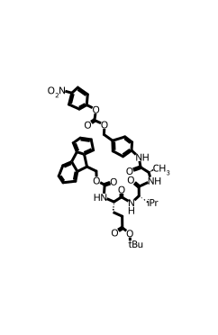 CC(C)[C@H](NC(=O)[C@H](CCC(=O)OC(C)(C)C)NC(=O)OCC1c2ccccc2-c2ccccc21)C(=O)N[C@@H](C)C(=O)Nc1ccc(COC(=O)Oc2ccc([N+](=O)[O-])cc2)cc1